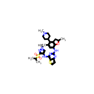 Cc1cc(Nc2nc(Nc3cn(C)nc3S(=O)(=O)C(C)C)c3sccc3n2)c2c(c1C1CCN(C)CC1)CC(C)O2